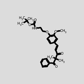 COc1cc(C=CC(=O)C(C)(C)C(=O)c2ccccc2)ccc1OCCNC(=O)OC(C)(C)C